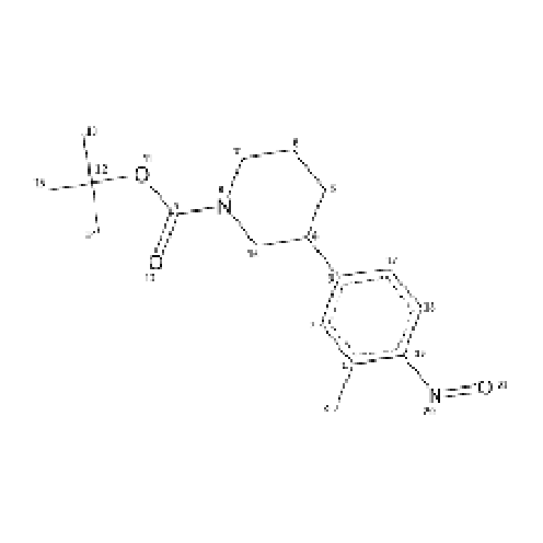 Cc1cc(C2CCCN(C(=O)OC(C)(C)C)C2)ccc1N=O